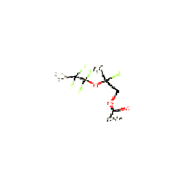 COC(=O)OCC(F)(OC(F)(F)C(F)(F)C(F)(F)F)C(F)(F)F